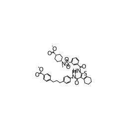 COC(=O)c1ccc(CCCc2ccc(NC(=O)c3c(NC(=O)c4cccc(S(=O)(=O)N(C)[C@H]5CC[C@H](C(=O)OC)CC5)c4)sc4c3CCCC4)cc2)cc1